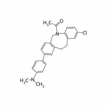 CC(=O)N1Cc2ccc(-c3ccc(N(C)C)cc3)cc2CCc2cc(Cl)ccc21